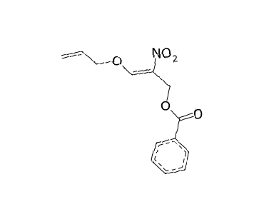 C=CCOC=C(COC(=O)c1ccccc1)[N+](=O)[O-]